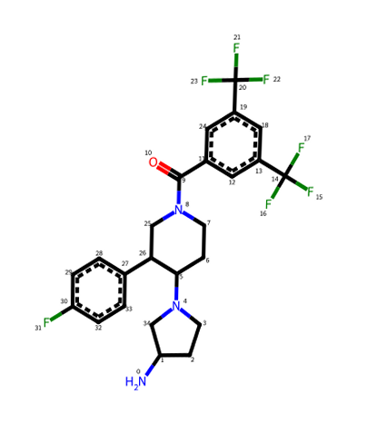 NC1CCN(C2CCN(C(=O)c3cc(C(F)(F)F)cc(C(F)(F)F)c3)CC2c2ccc(F)cc2)C1